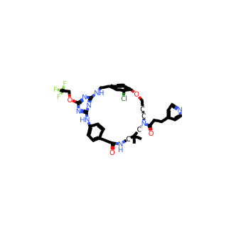 CC1(C)CNC(=O)c2ccc(cc2)Nc2nc(nc(OCC(F)(F)F)n2)NCc2ccc(c(Cl)c2)OCCCN(C(=O)CCc2ccncc2)C1